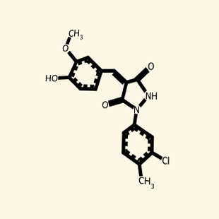 COc1cc(/C=C2/C(=O)NN(c3ccc(C)c(Cl)c3)C2=O)ccc1O